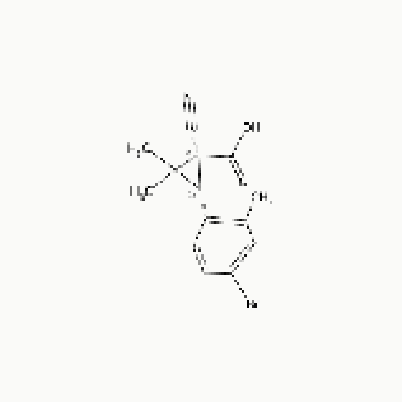 Cc1cc(Br)ccc1[C@@H]1C(C)(C)[C@@]1(C#N)C(=O)O